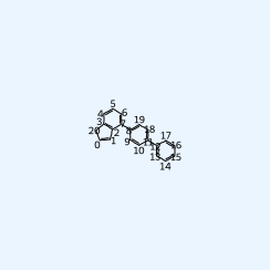 C1=Cc2c(cccc2-c2ccc(-c3ccccc3)cc2)C1